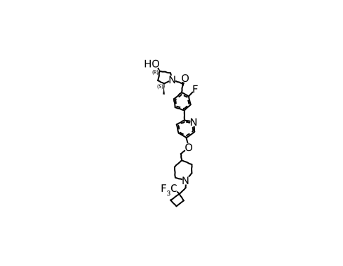 C[C@H]1C[C@@H](O)CN1C(=O)c1ccc(-c2ccc(OCC3CCN(CC4(C(F)(F)F)CCC4)CC3)cn2)cc1F